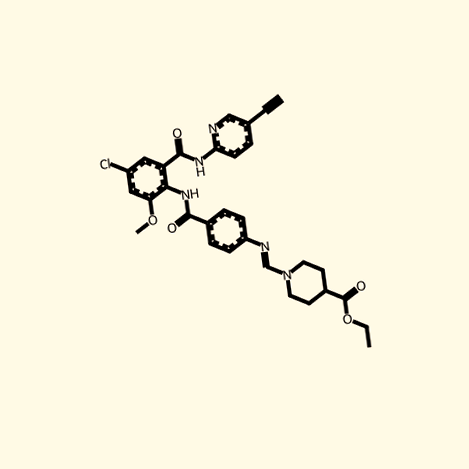 C#Cc1ccc(NC(=O)c2cc(Cl)cc(OC)c2NC(=O)c2ccc(N=CN3CCC(C(=O)OCC)CC3)cc2)nc1